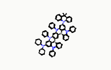 CC1(C)c2ccccc2N(c2cc3c4c(c2)N(c2ccccc2)c2cc5c(cc2B4c2ccccc2N3c2ccccc2)B2c3ccccc3N(c3ccccc3)c3cc(N(C4CCCCC4)C4CCCCC4)cc(c32)N5c2ccccc2)c2ccccc21